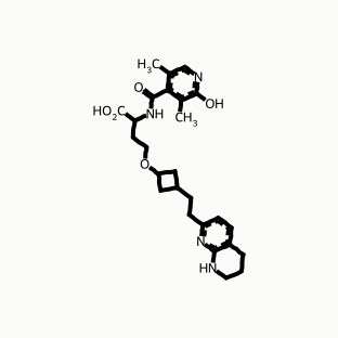 Cc1cnc(O)c(C)c1C(=O)NC(CCOC1CC(CCc2ccc3c(n2)NCCC3)C1)C(=O)O